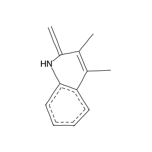 C=C1Nc2ccccc2C(C)=C1C